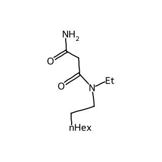 CCCCCCCCN(CC)C(=O)CC(N)=O